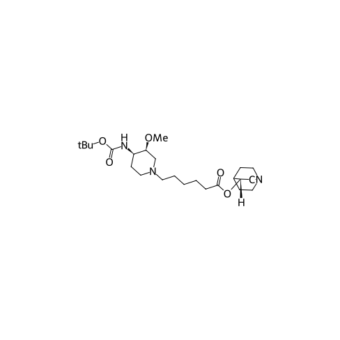 CO[C@H]1CN(CCCCCC(=O)O[C@H]2CN3CCC2CC3)CC[C@H]1NC(=O)OC(C)(C)C